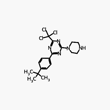 CC(C)(C)c1ccc(-c2nc(N3CCNCC3)nc(C(Cl)(Cl)Cl)n2)cc1